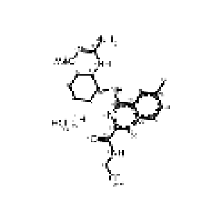 CO/N=C(/N)N[C@@H]1CCCC[C@@H]1Nc1nc(C(=O)NCC(F)(F)F)nc2ccc(C)cc12.Cl.Cl